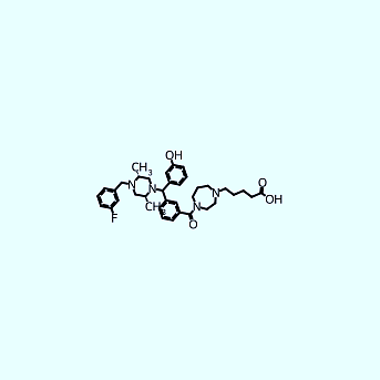 C[C@@H]1CN(C(c2cccc(O)c2)c2cccc(C(=O)N3CCCN(CCCCC(=O)O)CC3)c2)[C@@H](C)CN1Cc1cccc(F)c1